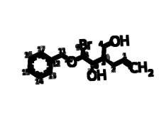 C=CC[C@H](CO)[C@H](O)C(Br)OCc1ccccc1